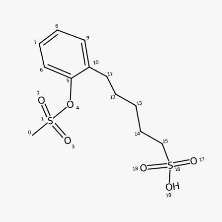 CS(=O)(=O)Oc1ccccc1CCCCCS(=O)(=O)O